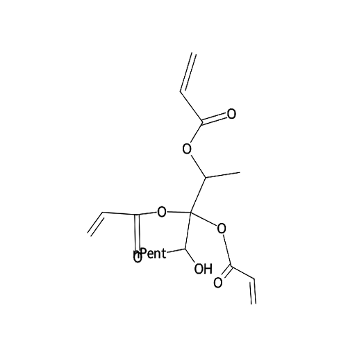 C=CC(=O)OC(C)C(OC(=O)C=C)(OC(=O)C=C)C(O)CCCCC